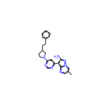 Cc1cnc2c(-c3cc(N4CCC(CCc5ccccc5)C4)ncn3)c(N)nn2c1